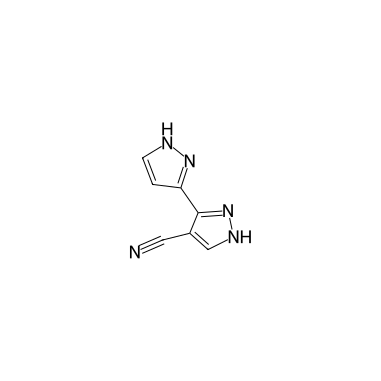 N#Cc1c[nH]nc1-c1cc[nH]n1